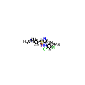 COc1cc(Nc2c(C#N)cnc3cc(-c4ccc(CN(C)C)cc4)[s+]([O-])c23)c(Cl)cc1Cl